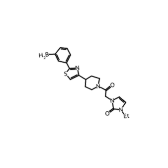 Bc1cccc(-c2nc(C3CCN(C(=O)Cn4ccn(CC)c4=O)CC3)cs2)c1